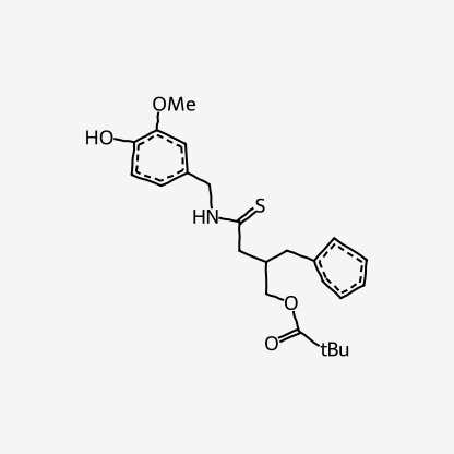 COc1cc(CNC(=S)CC(COC(=O)C(C)(C)C)Cc2ccccc2)ccc1O